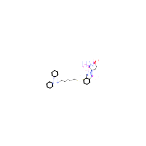 O=C1CCC(N2Cc3c(SCCCCCCCN(c4ccccc4)c4ccccc4)cccc3C2=O)C(=O)N1